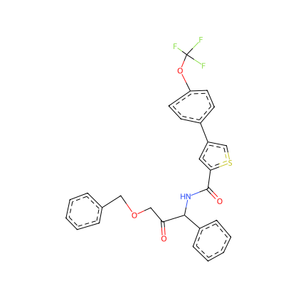 O=C(NC(C(=O)COCc1ccccc1)c1ccccc1)c1cc(-c2ccc(OC(F)(F)F)cc2)cs1